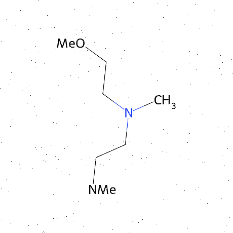 CNCCN(C)CCOC